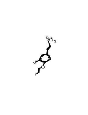 NCCc1ccc(OCCF)c(Cl)c1